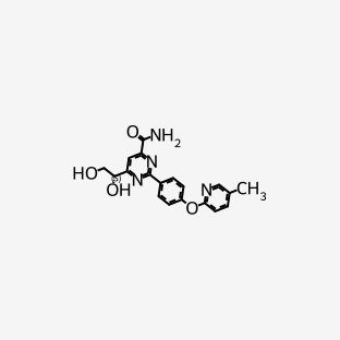 Cc1ccc(Oc2ccc(-c3nc(C(N)=O)cc([C@H](O)CO)n3)cc2)nc1